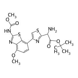 COC(=O)Nc1nc2c(OC)ccc(-c3csc(C(N)C(=O)OC(C)(C)C)n3)c2s1